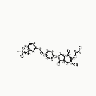 CS(=O)(=O)Nc1nccc(COc2ccc(N3Cc4c(cc(C#N)c(OCCCl)c4Cl)C3=O)cc2)n1